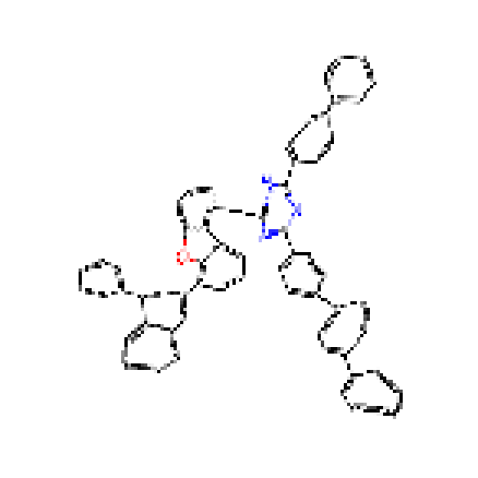 c1ccc(-c2ccc(-c3ccc(-c4nc(-c5ccc(-c6ccccc6)cc5)nc(-c5cccc6oc7c(-c8cc(-c9ccccc9)c9ccccc9c8)cccc7c56)n4)cc3)cc2)cc1